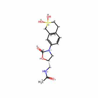 CC(=O)NC[C@H]1CN(c2ccc3c(c2)CS(O)(O)CC3)C(=O)O1